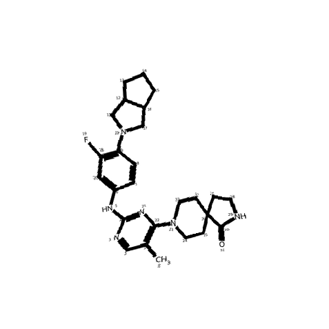 Cc1cnc(Nc2ccc(N3CC4CCCC4C3)c(F)c2)nc1N1CCC2(CCNC2=O)CC1